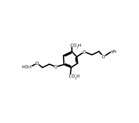 CCCCCCCCOCCOc1cc(C(=O)O)c(OCCOCCC)cc1C(=O)O